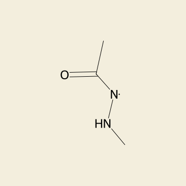 CN[N]C(C)=O